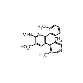 CNc1nc(-c2ccccc2C)c(-c2c(C)cncc2C)cc1C(=O)O